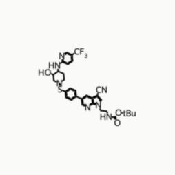 CC(C)(C)OC(=O)NCCn1cc(C#N)c2cc(-c3ccc(SN4CCC(Nc5ccc(C(F)(F)F)cn5)C(O)C4)cc3)cnc21